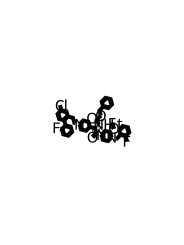 CCOc1cccc(F)c1CN1CCN(C(=O)[C@H](NC(=O)OCc2ccccc2)C2CCN(CCc3cc(Cl)ccc3-c3ccccc3F)CC2)CC1